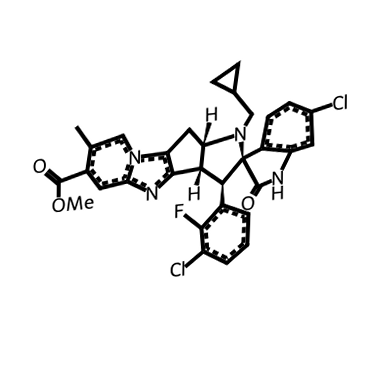 COC(=O)c1cc2nc3c(n2cc1C)C[C@H]1[C@@H]3[C@H](c2cccc(Cl)c2F)[C@]2(C(=O)Nc3cc(Cl)ccc32)N1CC1CC1